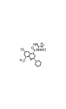 Cc1cc(Cl)cc2c(C(=O)NC(=N)N)cc(-c3ccccc3)nc12.Cl